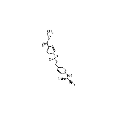 CCOC(=O)c1ccc(OC(=O)CCc2ccc(NC(=N)N)cc2)cc1